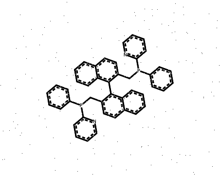 c1ccc(P(Cc2ccc3ccccc3c2-c2c(CP(c3ccccc3)c3ccccn3)ccc3ccccc23)c2ccccn2)cc1